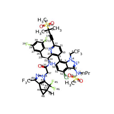 CCCN(c1nn(CC(F)(F)F)c2c(-c3ccc(C#CC(C)(C)S(C)(=O)=O)nc3[C@H](Cc3cc(F)cc(F)c3)NC(=O)Cn3nc(C(F)(F)F)c4c3C(F)(F)[C@@H]3CC43)ccc(Cl)c12)S(C)(=O)=O